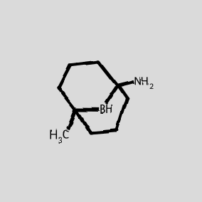 CC12BC(N)(CCC1)CCC2